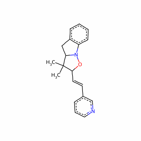 CC1(C)C(C=Cc2cccnc2)ON2c3ccccc3CC21